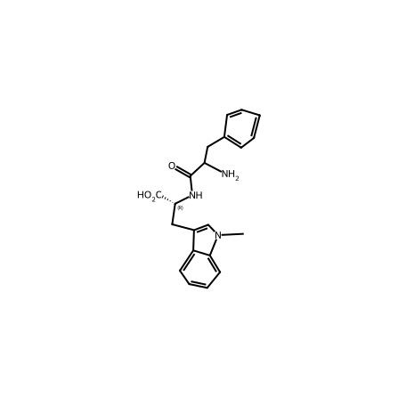 Cn1cc(C[C@@H](NC(=O)C(N)Cc2ccccc2)C(=O)O)c2ccccc21